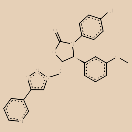 COc1cccc([C@H]2[C@H](Cn3cc(-c4cccnc4)nn3)OC(=O)N2c2ccc(Cl)cc2)c1